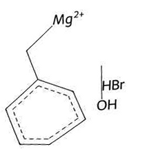 Br.CO.[Mg+2][CH2]c1ccccc1